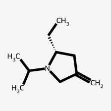 C=C1C[C@@H](CC)N(C(C)C)C1